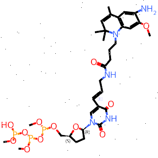 COc1cc2c(cc1N)C(C)=CC(C)(C)N2CCCC(=O)NC/C=C/c1cn([C@H]2CC[C@@H](COP(OC)OP(OC)OP(O)OC)O2)c(=O)[nH]c1=O